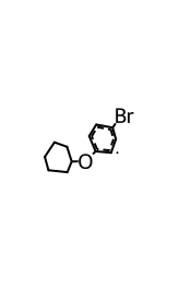 Brc1c[c]c(OC2CCCCC2)cc1